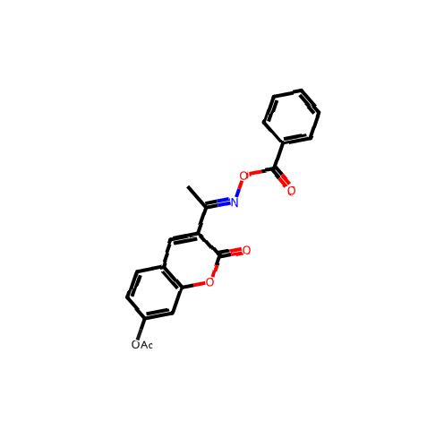 CC(=O)Oc1ccc2cc(/C(C)=N/OC(=O)c3ccccc3)c(=O)oc2c1